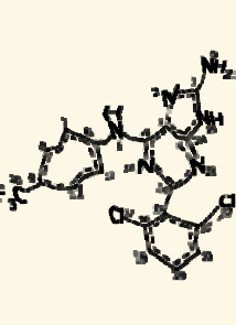 Nc1nc2c(Nc3ccc(C(F)(F)F)cc3)nc(-c3c(Cl)cccc3Cl)nc2[nH]1